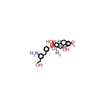 C[C@]12C=CC(=O)C=C1CC[C@@H]1[C@@H]2[C@@H](O)C[C@@]2(C)[C@H]1C[C@H]1O[C@@H](c3cccc(Cc4cc(N)cc(CCO)c4)c3)O[C@]12C(=O)CO